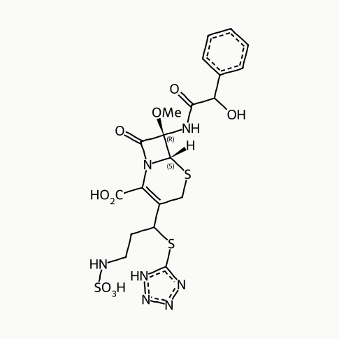 CO[C@]1(NC(=O)C(O)c2ccccc2)C(=O)N2C(C(=O)O)=C(C(CCNS(=O)(=O)O)Sc3nnn[nH]3)CS[C@H]21